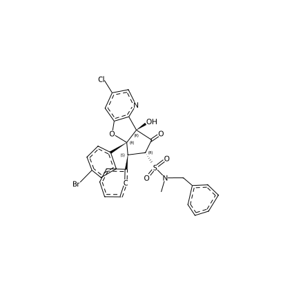 CN(Cc1ccccc1)S(=O)(=O)[C@H]1C(=O)[C@@]2(O)c3ncc(Cl)cc3O[C@@]2(c2ccc(Br)cc2)[C@@H]1c1ccccc1